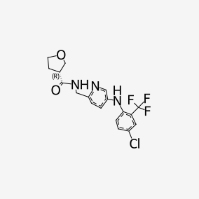 O=C(NCc1ccc(Nc2ccc(Cl)cc2C(F)(F)F)cn1)[C@@H]1CCOC1